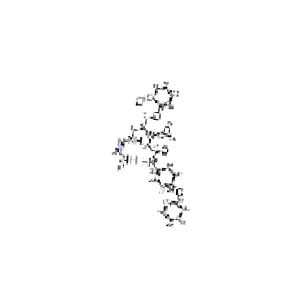 CN/N=N\NCC(COc1ccccc1Cl)N(CC(=O)Nc1ccc(Oc2ccccc2)cc1)C1CC1